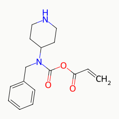 C=CC(=O)OC(=O)N(Cc1ccccc1)C1CCNCC1